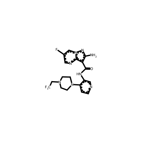 Nc1nn2cc(F)cnc2c1C(=O)Nc1cnccc1N1CCN(CC(F)(F)F)CC1